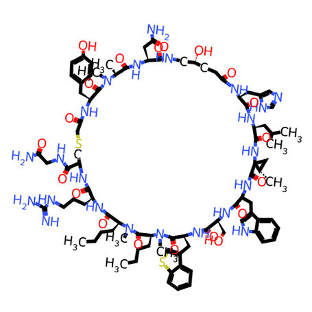 CCCC[C@H]1C(=O)N(C)[C@@H](CCCC)C(=O)N[C@@H](CCCNC(=N)N)C(=O)NC(C(=O)NCC(N)=O)CSCC(=O)N[C@@H](Cc2ccc(O)cc2)C(=O)N(C)[C@@H](C)C(=O)N[C@@H](CC(N)=O)C(=O)NC[C@H](O)CCC(=O)N[C@@H](Cc2cnc[nH]2)C(=O)N[C@@H](CC(C)C)C(=O)NC2(C[C@@H]2C)C(=O)NC(Cc2c[nH]c3ccccc23)C(=O)N[C@@H](CO)C(=O)N[C@@H](Cc2csc3ccccc23)C(=O)N1C